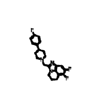 Fc1ccc(C2CCN(Cc3nc4cc(F)c(F)c5c4n3CCC5)CC2)cc1